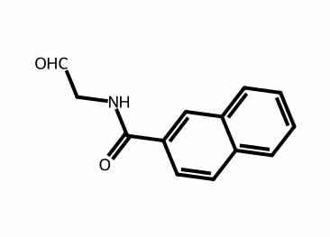 O=CCNC(=O)c1ccc2ccccc2c1